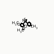 COc1cc(OC)c2c(c1)-c1nscc1-c1ccc(C)cc1O2